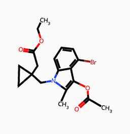 CCOC(=O)CC1(Cn2c(C)c(OC(C)=O)c3c(Br)cccc32)CC1